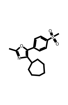 Cc1nc(C2CCCCCC2)c(-c2ccc(S(C)(=O)=O)cc2)o1